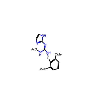 COc1cccc(OC)c1CNC(=Nc1ncc[nH]1)NOC(C)=O